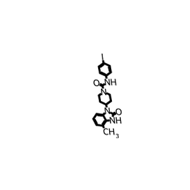 Cc1cccc2c1[nH]c(=O)n2C1CCN(C(=O)Nc2ccc(I)cc2)CC1